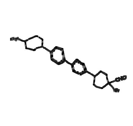 CCCCCCCC1CCC(c2ccc(-c3ccc(C4CCC(C=O)(CCC)CC4)cc3)cc2)CC1